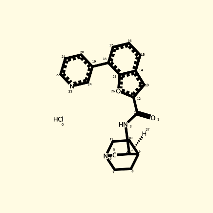 Cl.O=C(N[C@@H]1CN2CCC1CC2)c1cc2cccc(-c3cccnc3)c2o1